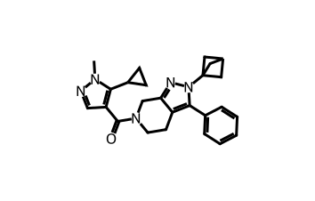 Cn1ncc(C(=O)N2CCc3c(nn(C45CC(C4)C5)c3-c3ccccc3)C2)c1C1CC1